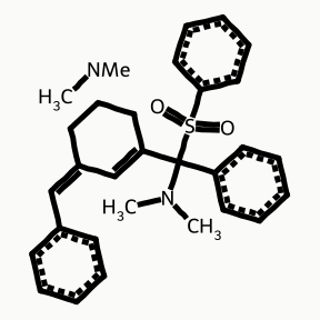 CN(C)C(C1=CC(=Cc2ccccc2)CCC1)(c1ccccc1)S(=O)(=O)c1ccccc1.CNC